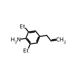 C=CCc1cc(CC)c(N)c(CC)c1